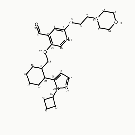 O=Cc1cc(OCCN2CCOCC2)ncc1OCC1CCCCC1c1ccnn1C1CCC1